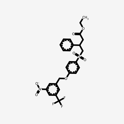 CCOC(=O)CC(CS(=O)(=O)c1ccc(OCc2cc([N+](=O)[O-])cc(C(F)(F)F)c2)cc1)c1ccccc1